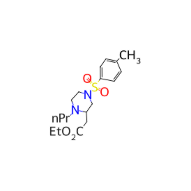 CCCN1CCN(S(=O)(=O)c2ccc(C)cc2)CC1CC(=O)OCC